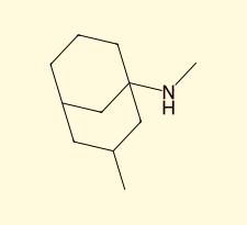 CNC12CCCC(CC(C)C1)C2